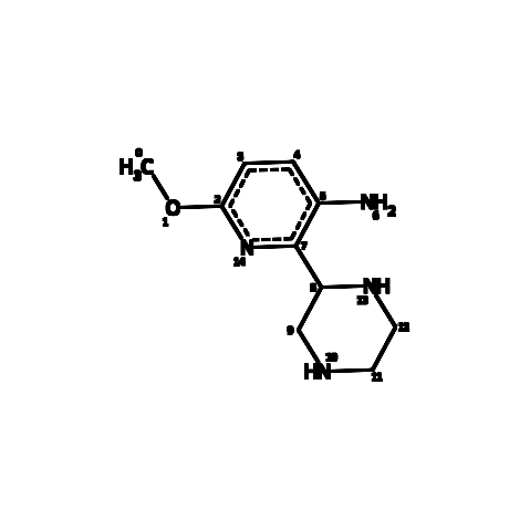 COc1ccc(N)c(C2CNCCN2)n1